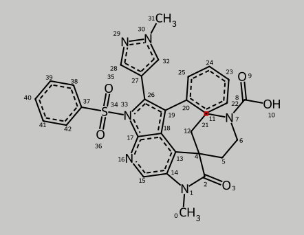 CN1C(=O)C2(CCN(C(=O)O)CC2)c2c1cnc1c2c(-c2ccccc2)c(-c2cnn(C)c2)n1S(=O)(=O)c1ccccc1